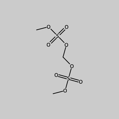 COS(=O)(=O)OCOS(=O)(=O)OC